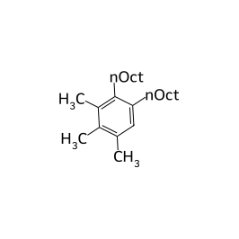 CCCCCCCCc1cc(C)c(C)c(C)c1CCCCCCCC